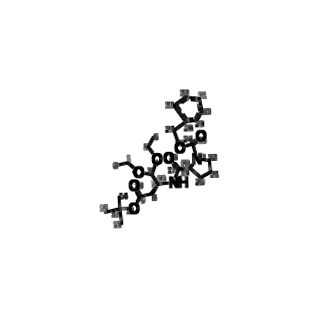 CCOC(OCC)[C@H](CC(=O)OC(C)(C)C)NC(=O)[C@@H]1CCCN1C(=O)OCc1ccccc1